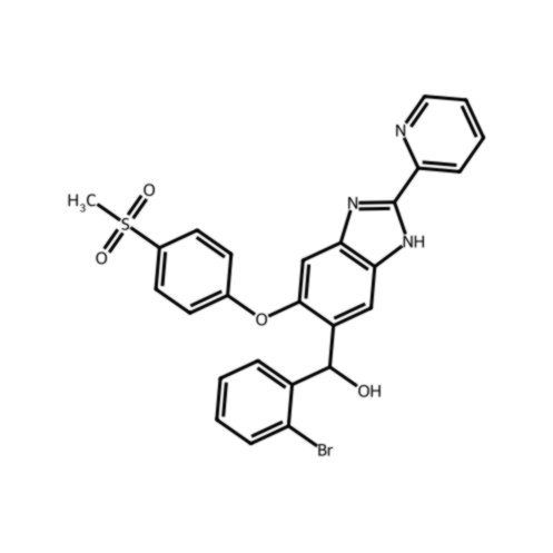 CS(=O)(=O)c1ccc(Oc2cc3nc(-c4ccccn4)[nH]c3cc2C(O)c2ccccc2Br)cc1